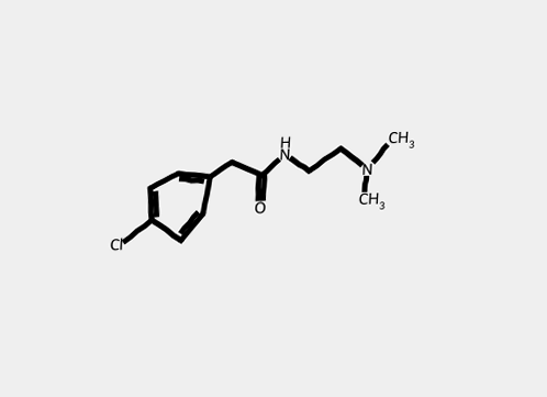 CN(C)CCNC(=O)Cc1ccc(Cl)cc1